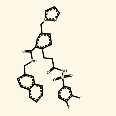 O=C(CCc1ccc(Cn2cccn2)cc1C(=O)NCc1ccc2ccccc2c1)NS(=O)(=O)c1ccc(F)c(F)c1